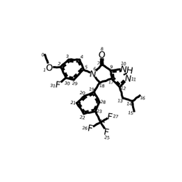 COc1ccc(N2C(=O)c3[nH]nc(CC(C)C)c3C2c2cccc(C(F)(F)F)c2)cc1F